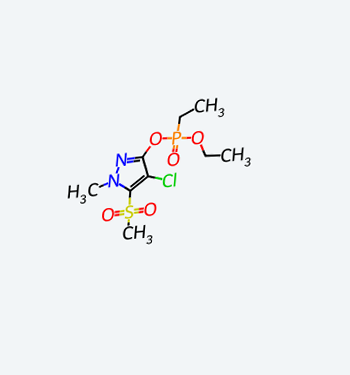 CCOP(=O)(CC)Oc1nn(C)c(S(C)(=O)=O)c1Cl